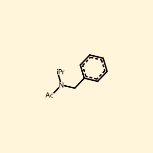 CC(=O)N(Cc1ccccc1)C(C)C